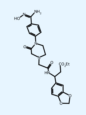 CCOC(=O)CC(NC(=O)CN1CCN(c2ccc(/C(N)=N\O)cc2)C(=O)C1)c1ccc2c(c1)OCO2